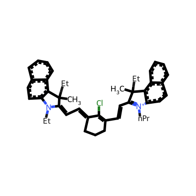 CCC[N+]1=C(/C=C/C2=C(Cl)C(=C/C=C3/N(CC)c4ccc5ccccc5c4C3(C)CC)/CCC2)C(C)(CC)c2c1ccc1ccccc21